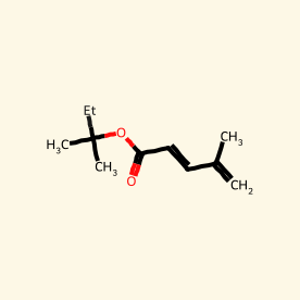 C=C(C)C=CC(=O)OC(C)(C)CC